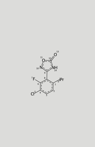 CC(C)c1ccc(Cl)c(F)c1-c1noc(=O)[nH]1